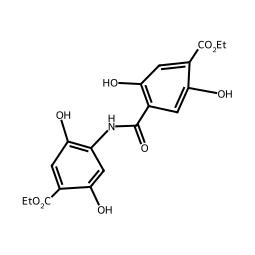 CCOC(=O)c1cc(O)c(NC(=O)c2cc(O)c(C(=O)OCC)cc2O)cc1O